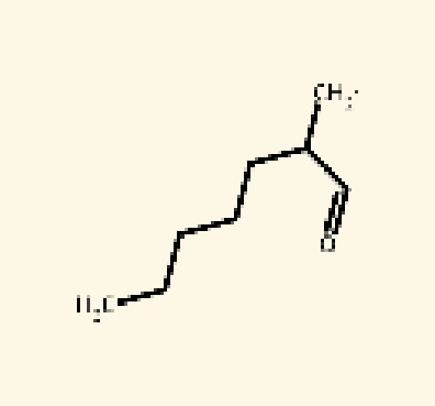 [CH2]C(C=O)CCCCC